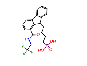 O=C(NCC(F)(F)F)c1cccc2c1C(CCCCP(=O)(O)O)c1ccccc1-2